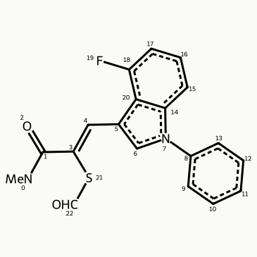 CNC(=O)/C(=C/c1cn(-c2ccccc2)c2cccc(F)c12)SC=O